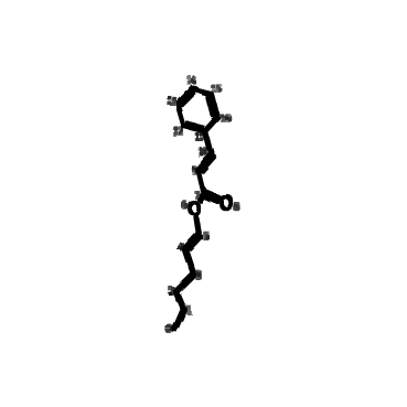 CCCCC=COC(=O)/C=C/c1ccccc1